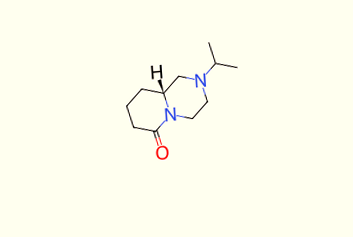 CC(C)N1CCN2C(=O)CCC[C@@H]2C1